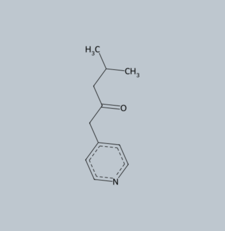 CC(C)CC(=O)Cc1ccncc1